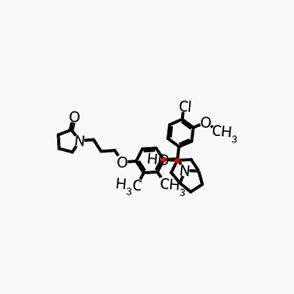 COc1cc(C2(O)CC3CCC(C2)N3Cc2ccc(OCCCN3CCCC3=O)c(C)c2C)ccc1Cl